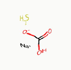 O=C([O-])O.S.[Na+]